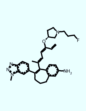 C=C/C(=C\C=C(/C)C1=C(c2ccc3nnn(C)c3c2)CCCc2cc(N)ccc21)O[C@H]1CCN(CCCF)C1